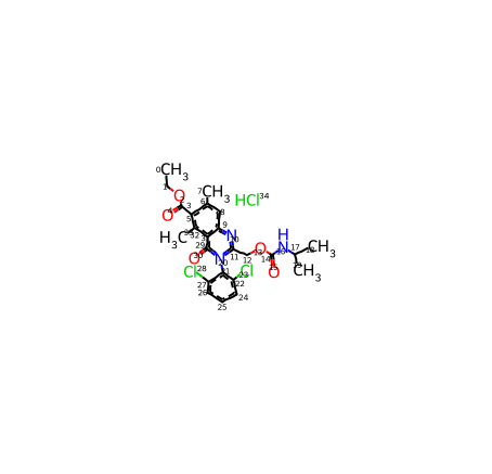 CCOC(=O)c1c(C)cc2nc(COC(=O)NC(C)C)n(-c3c(Cl)cccc3Cl)c(=O)c2c1C.Cl